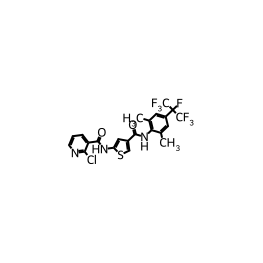 Cc1cc(C(F)(C(F)(F)F)C(F)(F)F)cc(C)c1NC(=O)c1csc(NC(=O)c2cccnc2Cl)c1